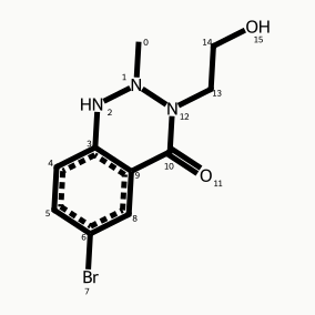 CN1Nc2ccc(Br)cc2C(=O)N1CCO